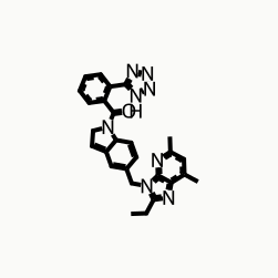 CCc1nc2c(C)cc(C)nc2n1CC1=CC2=CCN(C(=O)c3ccccc3-c3nnn[nH]3)C2C=C1